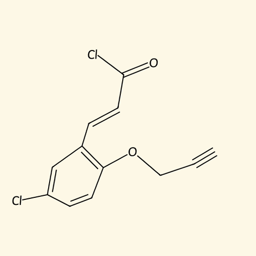 C#CCOc1ccc(Cl)cc1/C=C/C(=O)Cl